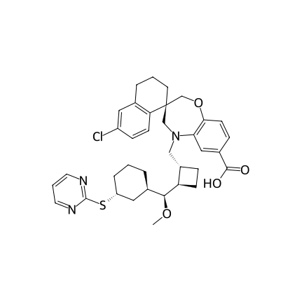 CO[C@@H]([C@@H]1CCC[C@@H](Sc2ncccn2)C1)[C@@H]1CC[C@H]1CN1C[C@@]2(CCCc3cc(Cl)ccc32)COc2ccc(C(=O)O)cc21